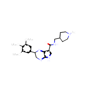 COc1cc(C2CN=c3[nH]cc(C(=O)NCC4CCN(C(C)=O)CC4)c3=N2)cc(OC)c1OC